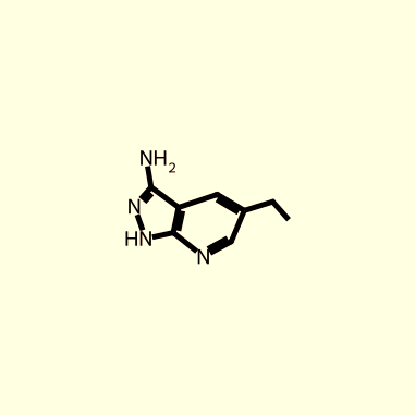 CCc1cnc2[nH]nc(N)c2c1